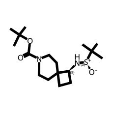 CC(C)(C)OC(=O)N1CCC2(CC[C@@H]2N[S@+]([O-])C(C)(C)C)CC1